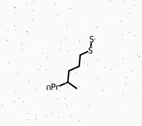 CCCC(C)CCCS[S]